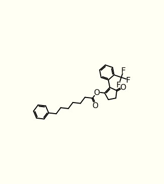 O=C(CCCCCCc1ccccc1)OC1=C(c2ccccc2C(F)(F)F)C(=O)CC1